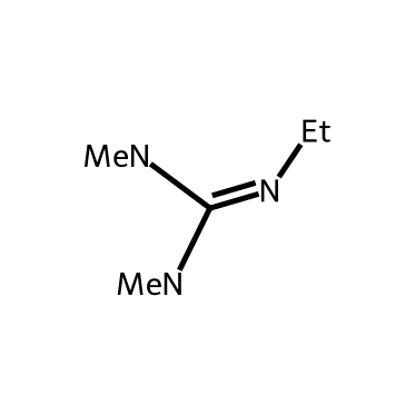 CCN=C(NC)NC